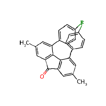 Cc1cc2c(c(-c3ccc(F)cc3)c1)-c1c(cc(C)cc1-c1ccc(F)cc1)C2=O